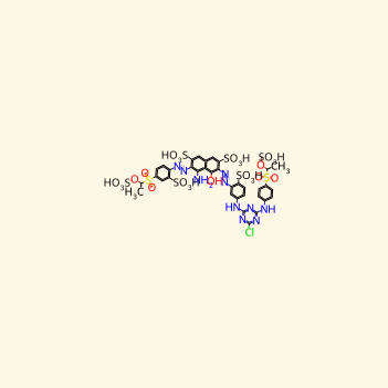 CC(OS(=O)(=O)O)S(=O)(=O)c1ccc(Nc2nc(Cl)nc(Nc3ccc(S(=O)(=O)O)c(/N=N/c4c(S(=O)(=O)O)cc5cc(S(=O)(=O)O)c(/N=N/c6ccc(S(=O)(=O)C(C)OS(=O)(=O)O)cc6S(=O)(=O)O)c(N)c5c4O)c3)n2)cc1